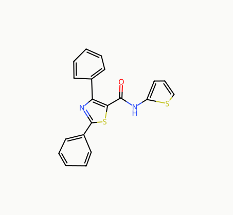 O=C(Nc1cccs1)c1sc(-c2ccccc2)nc1-c1ccccc1